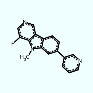 Cn1c2cc(-c3cccnc3)ccc2c2cncc(F)c21